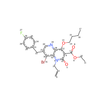 C=CCn1c(=O)c(C(=O)OCC)c(OCCCC)c2ncc(Cc3ccc(F)cc3)c(Br)c21